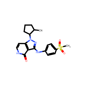 CS(=O)(=O)c1ccc(Nc2nn(C3CCCC3C#N)c3cc[nH]c(=O)c23)cc1